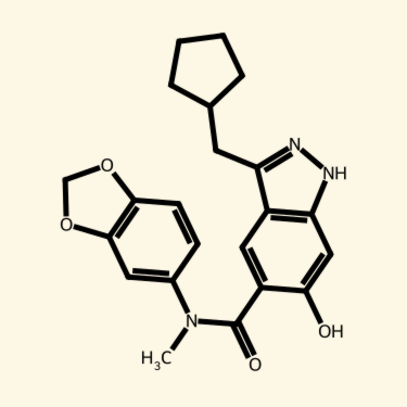 CN(C(=O)c1cc2c(CC3CCCC3)n[nH]c2cc1O)c1ccc2c(c1)OCO2